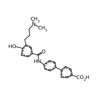 CN(C)CCCc1cc(C(=O)Nc2ccc(-c3ccc(C(=O)O)cc3)cc2)ccc1O